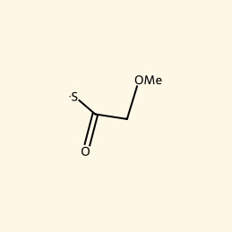 COCC(=O)[S]